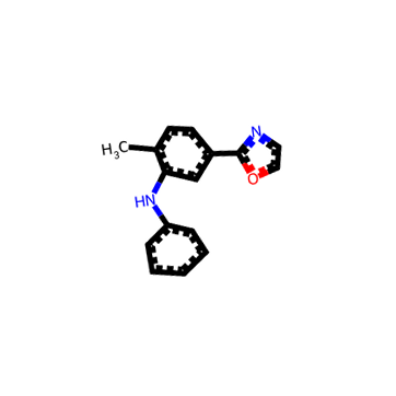 Cc1ccc(-c2ncco2)cc1Nc1ccccc1